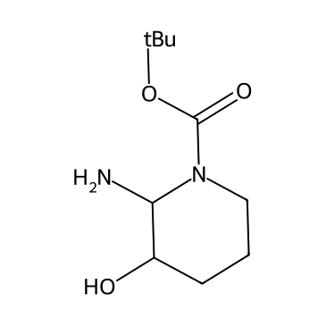 CC(C)(C)OC(=O)N1CCCC(O)C1N